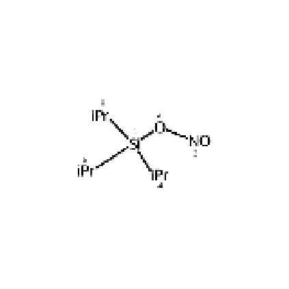 CC(C)[Si](ON=O)(C(C)C)C(C)C